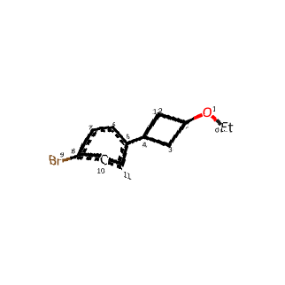 CCOC1CC(c2ccc(Br)cc2)C1